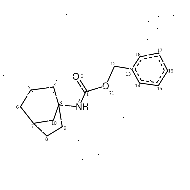 O=C(NC12CCCC(CC1)C2)OCc1ccccc1